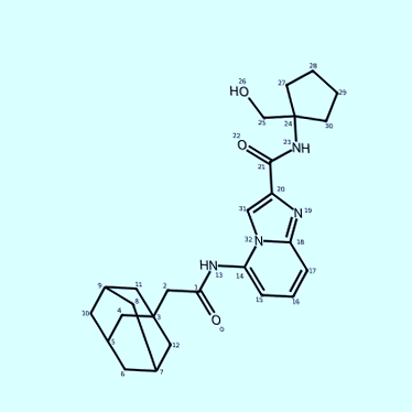 O=C(CC12CC3CC(CC(C3)C1)C2)Nc1cccc2nc(C(=O)NC3(CO)CCCC3)cn12